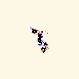 COc1ncc(-c2ccc3ncnc(N[C@H]4CCN(C(=O)C5CCOCC5)C4)c3c2)cc1C(=O)Oc1ccc(C#N)cc1